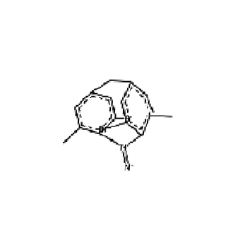 Cc1cc2cc(Br)c1[N+](=[N-])c1c(C)cc(cc1Br)C2